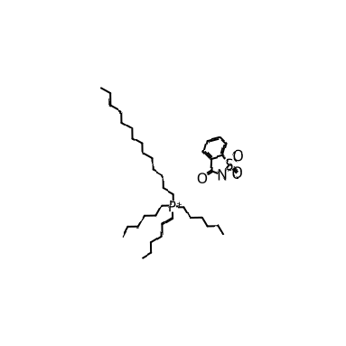 CCCCCCCCCCCCCC[P+](CCCCCC)(CCCCCC)CCCCCC.O=C1[N-]S(=O)(=O)c2ccccc21